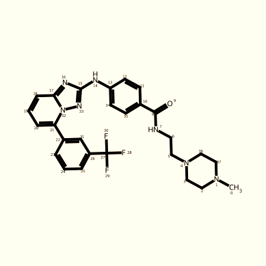 CN1CCN(CCNC(=O)c2ccc(Nc3nc4cccc(-c5cccc(C(F)(F)F)c5)n4n3)cc2)CC1